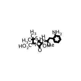 CO[C@@]1(NC(=O)Cc2ccccc2N)C(=O)N2[C@@H](C(=O)O)C(C)(C)S[C@@H]21